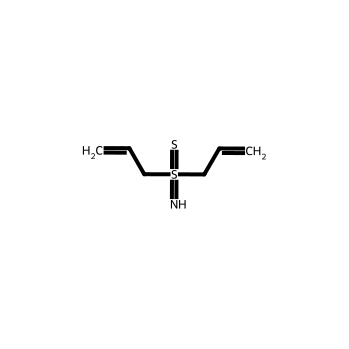 C=CCS(=N)(=S)CC=C